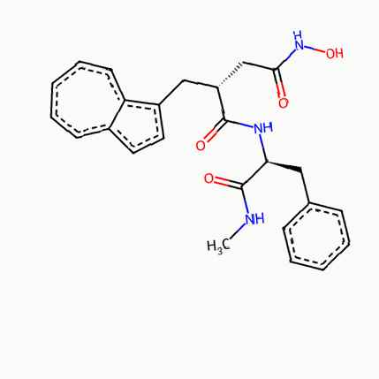 CNC(=O)[C@H](Cc1ccccc1)NC(=O)[C@@H](CC(=O)NO)Cc1ccc2cccccc1-2